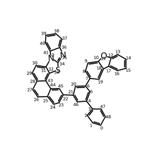 c1ccc(-c2cc(-c3ccc4oc5ccccc5c4c3)cc(-c3ccc4ccc5ccc6c(sc7nc8ccccc8n76)c5c4c3)c2)cc1